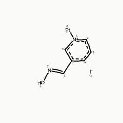 CC[n+]1cccc(C=NO)c1.[I-]